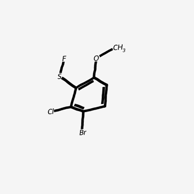 COc1ccc(Br)c(Cl)c1SF